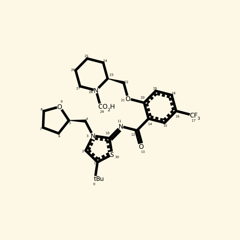 CC(C)(C)c1cn(C[C@H]2CCCO2)/c(=N/C(=O)c2cc(C(F)(F)F)ccc2OC[C@@H]2CCCCN2C(=O)O)s1